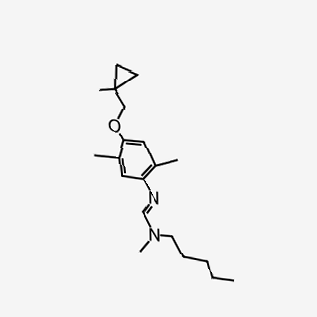 CCCCCN(C)/C=N/c1cc(C)c(OCC2(C)CC2)cc1C